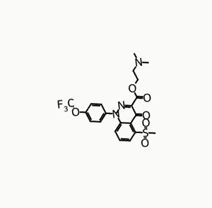 CN(C)CCOC(=O)c1nn(-c2ccc(OC(F)(F)F)cc2)c2cccc(S(C)(=O)=O)c2c1=O